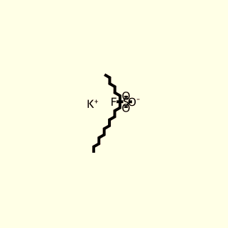 CCCCCCCCCCCC(F)(CCCCCC)S(=O)(=O)[O-].[K+]